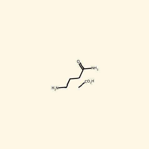 CC(=O)O.NCCCC(N)=O